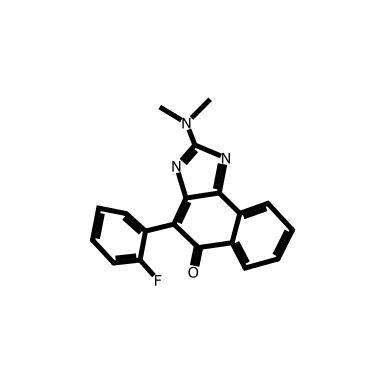 CN(C)C1=NC2=C(c3ccccc3F)C(=O)c3ccccc3C2=N1